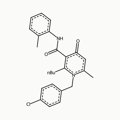 CCCCc1c(C(=O)Nc2ccccc2C)c(=O)cc(C)n1Cc1ccc(Cl)cc1